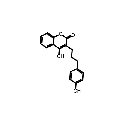 O=c1oc2ccccc2c(O)c1CCCc1ccc(O)cc1